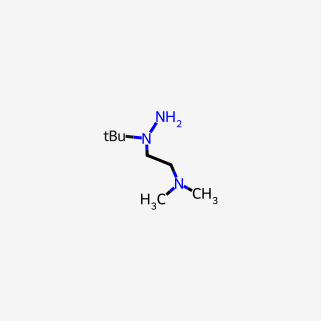 CN(C)CCN(N)C(C)(C)C